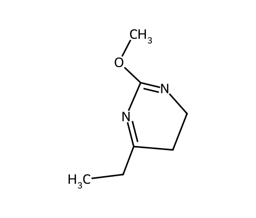 CCC1=NC(OC)=NCC1